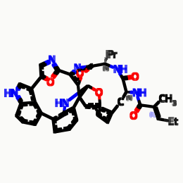 CC/C=C(\C)C(=O)N[C@H]1Cc2ccc3c(c2)C24c5cccc(c5NC2O3)-c2cccc3[nH]cc(c23)-c2cnc(o2)-c2nc(oc24)[C@H](C(C)C)NC1=O